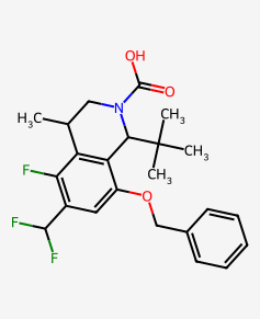 CC1CN(C(=O)O)C(C(C)(C)C)c2c(OCc3ccccc3)cc(C(F)F)c(F)c21